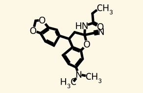 CCC(=O)NC1(C#N)CC(c2ccc3c(c2)OCO3)c2ccc(N(C)C)cc2O1